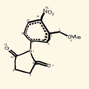 COCc1cc(N2C(=O)CCC2=O)ccc1[N+](=O)[O-]